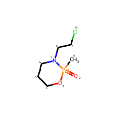 CP1(=O)OCCCN1CCCl